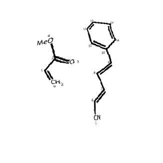 C=CC(=O)OC.N#CC=CC=Cc1ccccc1